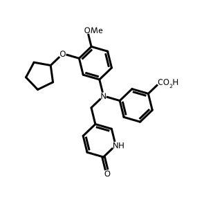 COc1ccc(N(Cc2ccc(=O)[nH]c2)c2cccc(C(=O)O)c2)cc1OC1CCCC1